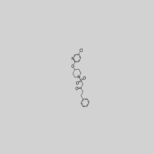 O=C(CCc1ccccc1)CS(=O)(=O)N1CCC(Oc2ccc(Cl)cn2)CC1